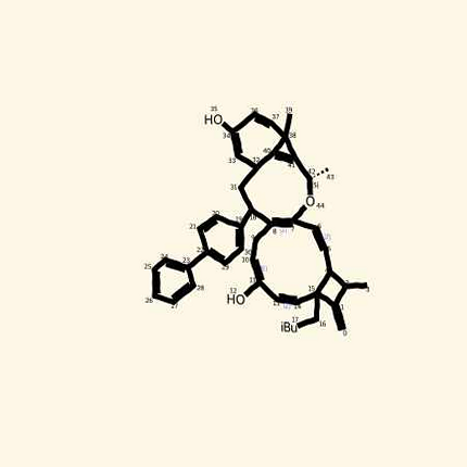 C=C1C(C)C2/C=C\C3=C(/C/C=C(O)\C=C/C12CC(C)CC)C(c1ccc(-c2ccccc2)cc1)CC1C=C(O)C=CC2(C)C1=C2[C@H](C)O3